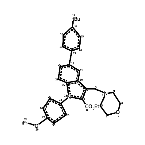 CCOC(=O)c1c(CN2CCOCC2)c2cc(-c3ccc(C(C)(C)C)cc3)ccc2n1-c1ccc(OC(C)C)cc1